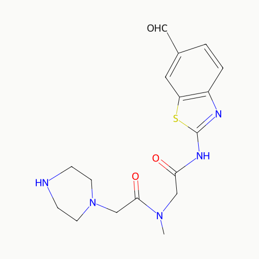 CN(CC(=O)Nc1nc2ccc(C=O)cc2s1)C(=O)CN1CCNCC1